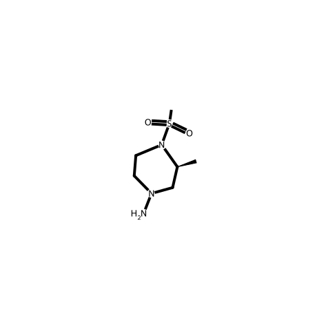 C[C@H]1CN(N)CCN1S(C)(=O)=O